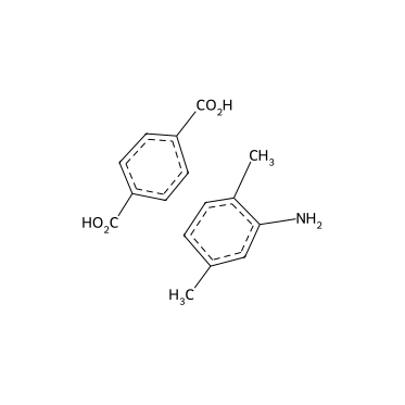 Cc1ccc(C)c(N)c1.O=C(O)c1ccc(C(=O)O)cc1